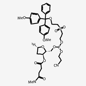 [3H][C@H]1C[C@H](OC(=O)CCC(=O)NC)[C@@H](COP(OCC[N+]#[C-])OCCS(=O)(=O)CCOC(c2ccccc2)(c2ccc(OC)cc2)c2ccc(OC)cc2)O1